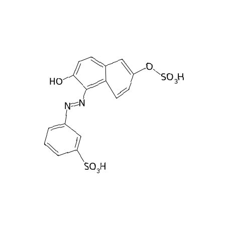 O=S(=O)(O)Oc1ccc2c(N=Nc3cccc(S(=O)(=O)O)c3)c(O)ccc2c1